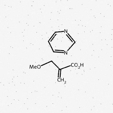 C=C(COC)C(=O)O.c1cncnc1